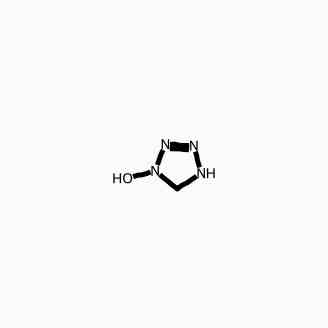 ON1CNN=N1